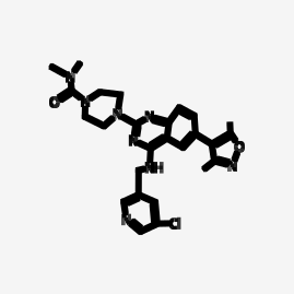 Cc1noc(C)c1-c1ccc2nc(N3CCN(C(=O)N(C)C)CC3)nc(NCc3cncc(Cl)c3)c2c1